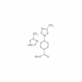 COC(=O)c1ccc(-n2cnc([N+](=O)[O-])c2)cc1.O=[N+]([O-])c1c[nH]cn1